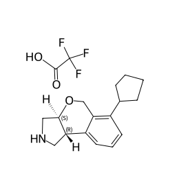 O=C(O)C(F)(F)F.c1cc(C2CCCC2)c2c(c1)[C@@H]1CNC[C@H]1OC2